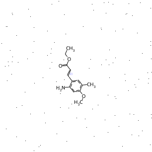 CCOC(=O)/C=C/c1cc(C)c(OC)cc1N